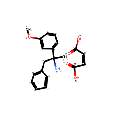 COc1cccc(C(C)(N)Cc2ccccc2)c1.O=C(O)/C=C\C(=O)O